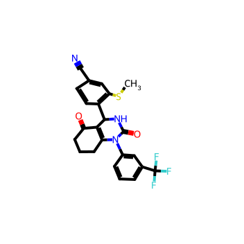 CSc1cc(C#N)ccc1C1NC(=O)N(c2cccc(C(F)(F)F)c2)C2=C1C(=O)CCC2